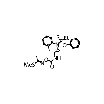 CCP(=S)(Oc1ccccc1)N(SCNC(=O)ON=C(C)SC)c1ccccc1C